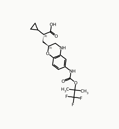 CC(C)(OC(=O)Nc1ccc2c(c1)NC[C@H](C[C@@H](C(=O)O)C1CC1)O2)C(F)(F)F